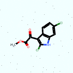 COC(=O)C(=O)c1c(Cl)[nH]c2cc(Cl)ccc12